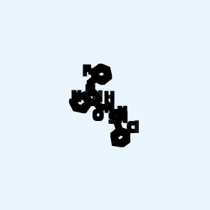 O=C(Nc1nnc(-c2ccccc2Cl)s1)c1nn(Cc2ccccc2F)c2ncccc12